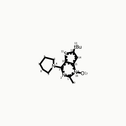 Cc1nc(N2CCCCC2)c2sc(C(C)(C)C)cc2[n+]1[O-]